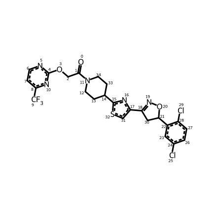 O=C(COc1nccc(C(F)(F)F)n1)N1CCC(c2nc(C3=NOC(c4cc(Cl)ccc4Cl)C3)cs2)CC1